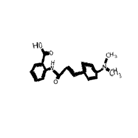 CN(C)c1ccc(C=CC(=O)Nc2ccccc2C(=O)O)cc1